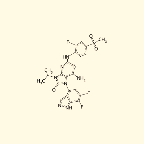 CC(C)n1c(=O)n(-c2cc(F)c(F)c3[nH]ncc23)c2c(N)nc(Nc3ccc(S(C)(=O)=O)cc3F)nc21